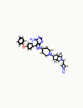 Nc1ncnc2c1c(-c1ccc(Oc3ccccc3)cc1)nn2C1CCN(C2C[C@@H]3CN(CC4CNC4)C[C@@H]3C2)CC1